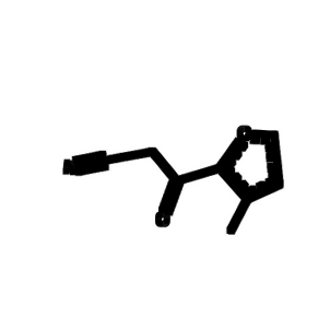 Cc1ccoc1C(=O)CC#N